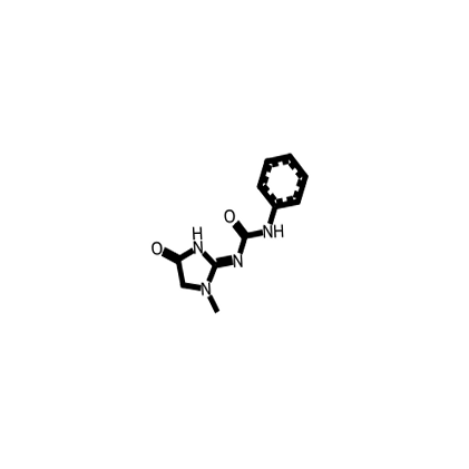 CN1CC(=O)N/C1=N\C(=O)Nc1ccccc1